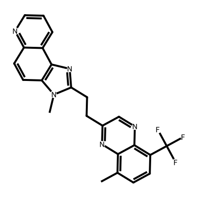 Cc1ccc(C(F)(F)F)c2ncc(CCc3nc4c5cccnc5ccc4n3C)nc12